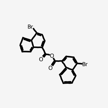 O=C(OC(=O)c1ccc(Br)c2ccccc12)c1ccc(Br)c2ccccc12